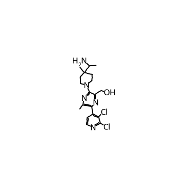 Cc1nc(N2CCC(C)(C(C)N)CC2)c(CO)nc1-c1ccnc(Cl)c1Cl